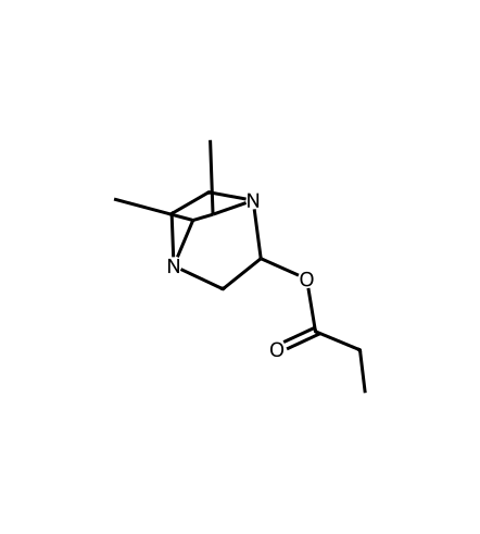 CCC(=O)OC1CN2CCN1C(C)C2C